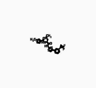 COC[C@H](NC(=O)c1ccn(C)c1)C(=O)Nc1nc(-c2cccc([C@H]3CC3(F)F)c2)cs1